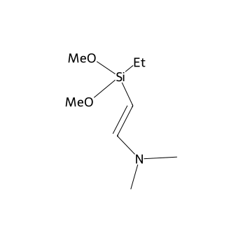 CC[Si](C=CN(C)C)(OC)OC